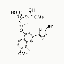 COc1ccc2c(O[C@H]3C[C@@H](C(=O)O)[C@H](C(O)OC)C3)cc(-c3nc(C(C)C)cs3)nc2c1C